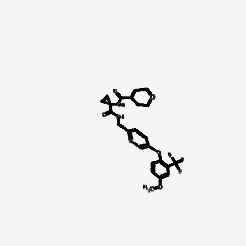 COc1ccc(Oc2ccc(CNC(=O)C3(NC(=O)C4CCOCC4)CC3)nc2)c(C(F)(F)F)c1